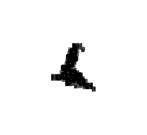 NC(=O)c1cc(O)cc(C(=O)N(c2ccc(S(=O)(=O)c3ccc(N)cc3)cc2)c2ccc(S(=O)(=O)c3ccc(N)cc3)cc2)c1